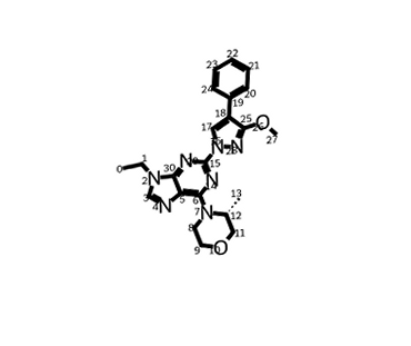 CCn1cnc2c(N3CCOC[C@H]3C)nc(-n3cc(-c4ccccc4)c(OC)n3)nc21